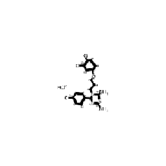 Cl.NC1=NC(c2ccc(Cl)cc2)N(CCCOc2ccc(Cl)c(Cl)c2)C(N)=N1